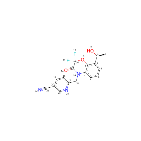 C[C@H](O)c1cccc2c1OC(F)(F)C(=O)N2Cc1ccc(C#N)cn1